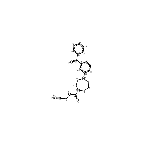 C#CCOC(=O)N1CCCN(c2cccc(C(=O)c3cccnc3)n2)CC1